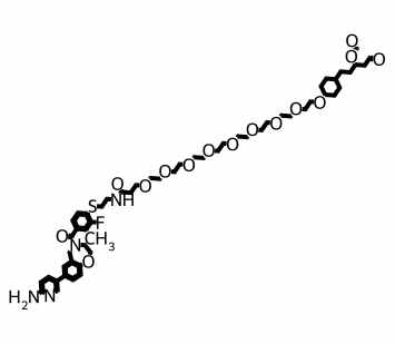 Cc1c(C(=O)N2CCOc3ccc(-c4ccc(N)nc4)cc3C2)ccc(SCCNC(=O)CCOCCOCCOCCOCCOCCOCCOCCOCCOC2CCC(CCC(CC=O)OC=O)CC2)c1F